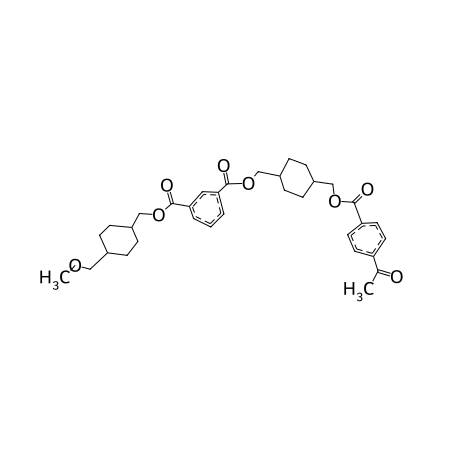 COCC1CCC(COC(=O)c2cccc(C(=O)OCC3CCC(COC(=O)c4ccc(C(C)=O)cc4)CC3)c2)CC1